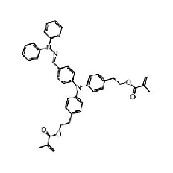 C=C(C)C(=O)OCCc1ccc(N(c2ccc(C=NN(c3ccccc3)c3ccccc3)cc2)c2ccc(CCOC(=O)C(=C)C)cc2)cc1